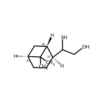 CC1(C)[C@H]2CC[C@H](C(S)CO)[C@H]1C2